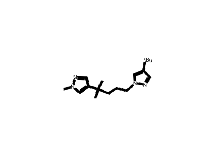 Cn1cc(C(C)(C)CCCn2cc(C(C)(C)C)cn2)cn1